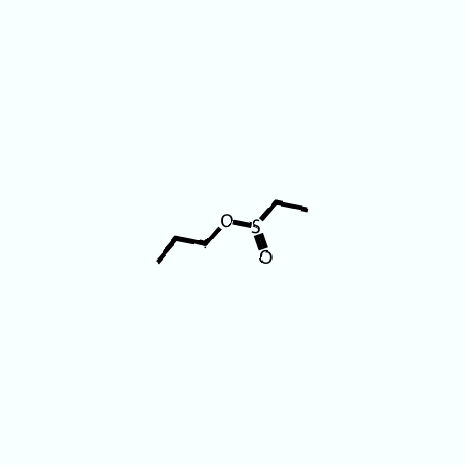 CC[CH]OS(=O)CC